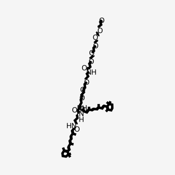 CC1=C(/C=C/C(C)=C/C=C/C(C)=C/C(=O)NCCCC[C@H](NC(=O)/C=C(C)/C=C/C=C(C)/C=C/C2=C(C)CCCC2(C)C)C(=O)NCCCOCCOCCOCCCNC(=O)CCOCCOCCOCCOCCOCCC=O)C(C)(C)CCC1